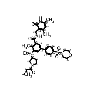 C=CC(=O)N1CCC(N(CC)c2cc(-c3ccc(S(=O)(=O)N4CCOCC4)cc3)cc(C(=O)NCc3c(C)cc(C)[nH]c3=O)c2C)C1